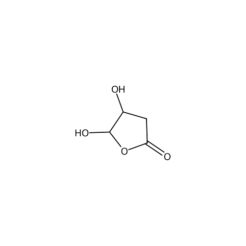 O=C1CC(O)C(O)O1